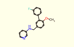 COc1ccc(CNc2cccnc2)cc1-c1cccc(F)c1